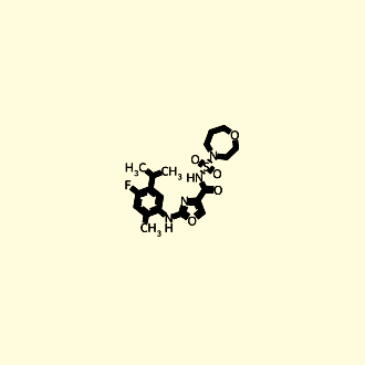 Cc1cc(F)c(C(C)C)cc1Nc1nc(C(=O)NS(=O)(=O)N2CCCOCC2)co1